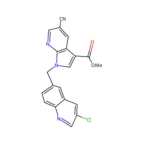 COC(=O)c1cn(Cc2ccc3ncc(Cl)cc3c2)c2ncc(C#N)cc12